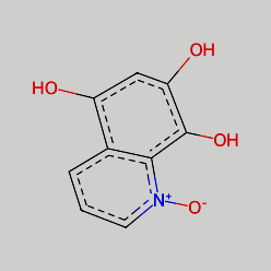 [O-][n+]1cccc2c(O)cc(O)c(O)c21